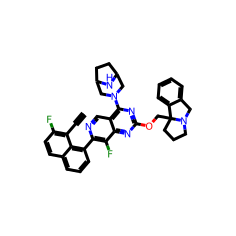 C#Cc1c(F)ccc2cccc(-c3ncc4c(N5CC6CCC(C5)N6)nc(OCC56CCCN5Cc5ccccc56)nc4c3F)c12